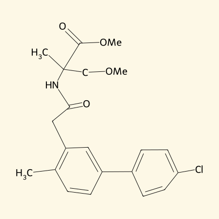 COCC(C)(NC(=O)Cc1cc(-c2ccc(Cl)cc2)ccc1C)C(=O)OC